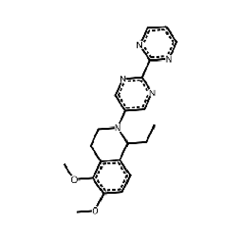 CCC1c2ccc(OC)c(OC)c2CCN1c1cnc(-c2ncccn2)nc1